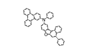 c1ccc(-c2cc3oc4ccc(N(c5ccccc5)c5ccc6c7ccccc7c7ccccc7c6c5)cc4c3c3ccccc23)cc1